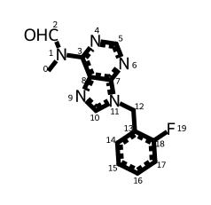 CN(C=O)c1ncnc2c1ncn2Cc1ccccc1F